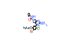 COc1cc(-c2nc(N)nc3c2CN(C(=O)NC2CCC2)C3)c(Cl)cc1Br